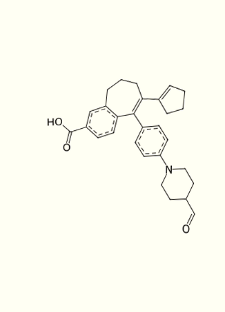 O=CC1CCN(c2ccc(C3=C(C4=CCCC4)CCCc4cc(C(=O)O)ccc43)cc2)CC1